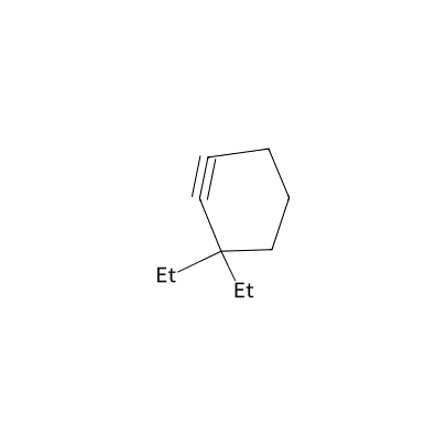 CCC1(CC)C#CCCC1